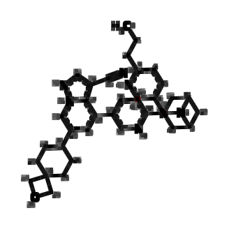 CCCc1ccc(CN2C3CC2CN(c2ccc(-c4cc(C5=CCC6(CC5)COC6)cn5ncc(C#N)c45)cn2)C3)cn1